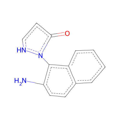 Nc1ccc2ccccc2c1-n1[nH]ccc1=O